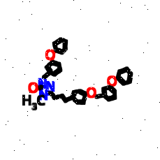 Cn1c(CCCc2ccc(OCc3cccc(Oc4ccccc4)c3)cc2)nn(Cc2cccc(Oc3ccccc3)c2)c1=O